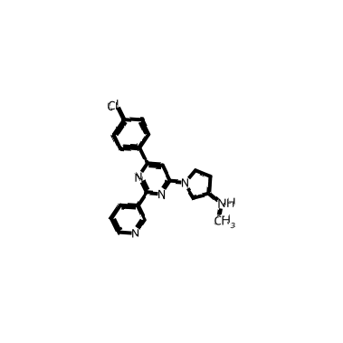 CNC1CCN(c2cc(-c3ccc(Cl)cc3)nc(-c3cccnc3)n2)C1